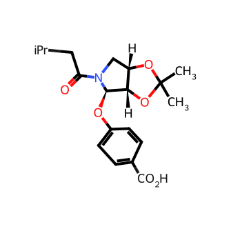 CC(C)CC(=O)N1C[C@@H]2OC(C)(C)O[C@@H]2[C@H]1Oc1ccc(C(=O)O)cc1